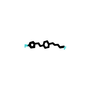 FC=CCCCC1CCC(CCc2ccc(F)cc2)CC1